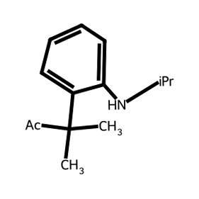 CC(=O)C(C)(C)c1ccccc1NC(C)C